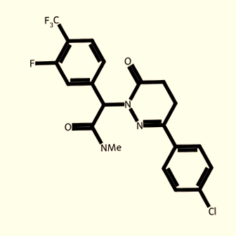 CNC(=O)C(c1ccc(C(F)(F)F)c(F)c1)N1N=C(c2ccc(Cl)cc2)CCC1=O